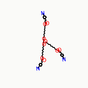 N#Cc1ccc(C=CC(=O)OCCCCCCCCCCOCC(COCCCCCCCCCCOC(=O)C=Cc2ccc(C#N)cc2)OCCCCCCCCCCOC(=O)C=Cc2ccc(C#N)cc2)cc1